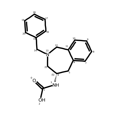 O=C(O)N[C@H]1Cc2ccccc2CN(Cc2ccccc2)C1